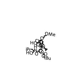 COCCCOc1cc(CN(C(=O)[C@@H]2C[C@H](C(=O)NC(CO)CC(C)C)CN(C(=O)OC(C)(C)C)C2)C2CC2)cc(C(C)(C)O)c1